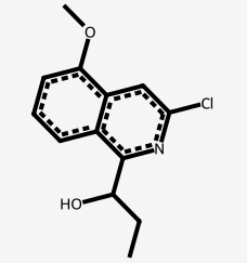 CCC(O)c1nc(Cl)cc2c(OC)cccc12